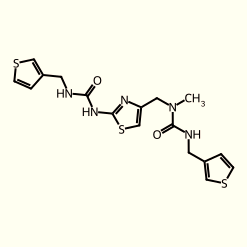 CN(Cc1csc(NC(=O)NCc2ccsc2)n1)C(=O)NCc1ccsc1